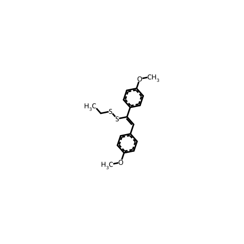 CCSS/C(=C\c1ccc(OC)cc1)c1ccc(OC)cc1